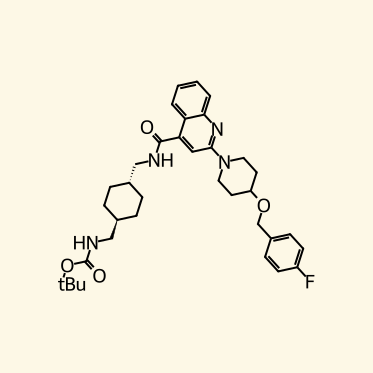 CC(C)(C)OC(=O)NC[C@H]1CC[C@H](CNC(=O)c2cc(N3CCC(OCc4ccc(F)cc4)CC3)nc3ccccc23)CC1